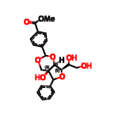 COC(=O)c1ccc(C2OC[C@@]3(O)C(c4ccccc4)O[C@H](C(O)CO)[C@@H]3O2)cc1